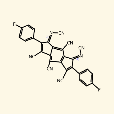 N#C/N=c1/c(-c2ccc(F)cc2)c(C#N)c2c(C#N)c3c(C#N)c(-c4ccc(F)cc4)/c(=N/C#N)c3c(C#N)c12